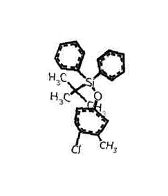 Cc1cc(O[Si](c2ccccc2)(c2ccccc2)C(C)(C)C)ccc1Cl